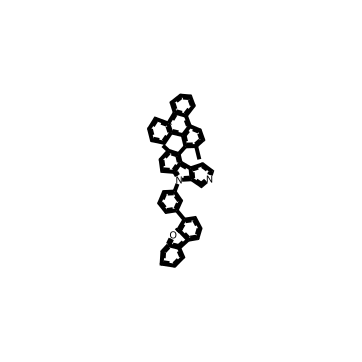 Cc1ccc2c3ccccc3c3ccccc3c2c1-c1c(C)ccc2c1c1ccncc1n2-c1cccc(-c2cccc3c2oc2ccccc23)c1